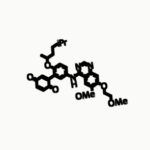 COCCOc1cc2ncnc(Nc3ccc(OC(C)CCC(C)C)c(C4=CC(=O)C=CC4=O)c3)c2cc1OC